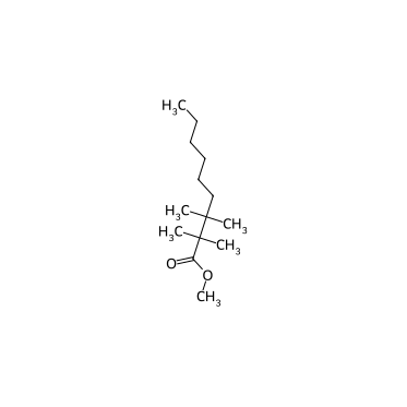 CCCCCCC(C)(C)C(C)(C)C(=O)OC